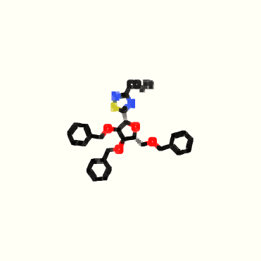 CCOC(=O)c1nsc([C@@H]2O[C@H](COCc3ccccc3)[C@@H](OCc3ccccc3)[C@H]2OCc2ccccc2)n1